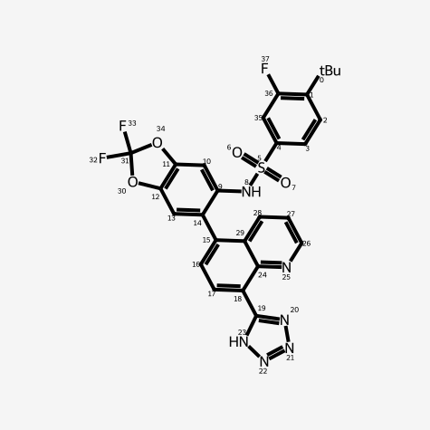 CC(C)(C)c1ccc(S(=O)(=O)Nc2cc3c(cc2-c2ccc(-c4nnn[nH]4)c4ncccc24)OC(F)(F)O3)cc1F